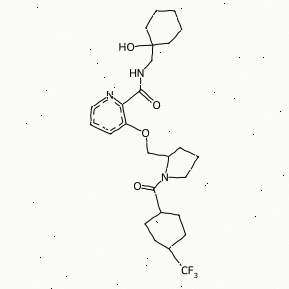 O=C(NCC1(O)CCCCC1)c1ncccc1OCC1CCCN1C(=O)C1CCC(C(F)(F)F)CC1